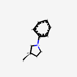 C[C@@H]1CCN(c2cc[c]cc2)C1